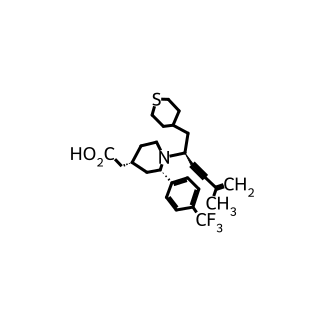 C=C(C)C#C[C@H](CC1CCSCC1)N1CC[C@@H](CC(=O)O)C[C@H]1c1ccc(C(F)(F)F)cc1